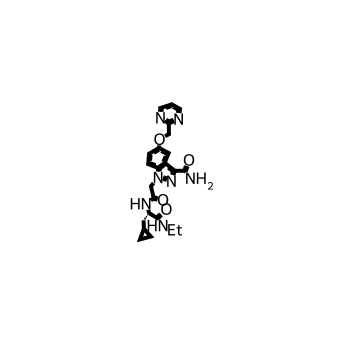 CCNC(=O)[C@H](CC1CC1)NC(=O)Cn1nc(C(N)=O)c2cc(OCc3ncccn3)ccc21